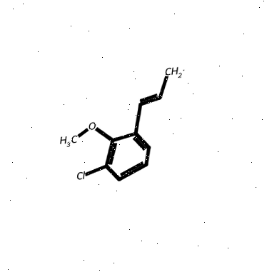 [CH2]C=Cc1cccc(Cl)c1OC